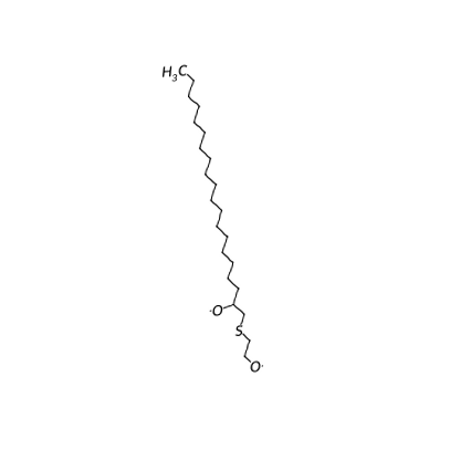 CCCCCCCCCCCCCCCCCCC([O])CSCC[O]